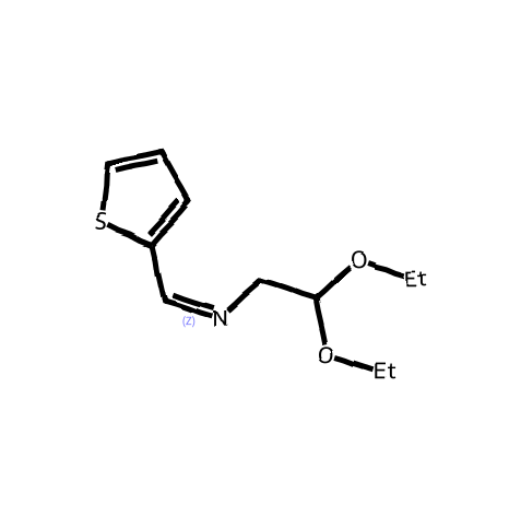 CCOC(C/N=C\c1cccs1)OCC